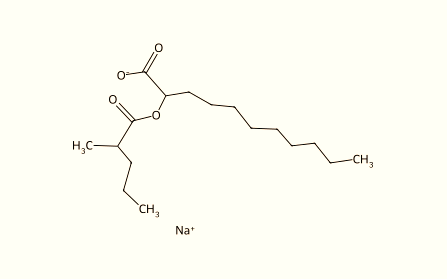 CCCCCCCCCC(OC(=O)C(C)CCC)C(=O)[O-].[Na+]